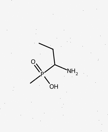 CCC(N)P(C)(=O)O